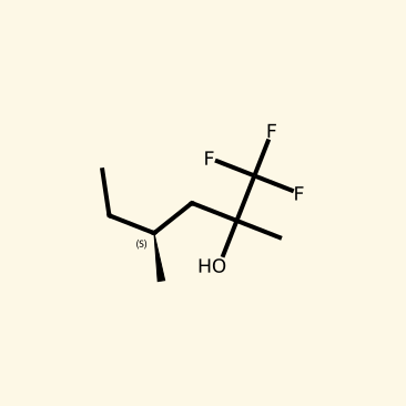 CC[C@H](C)CC(C)(O)C(F)(F)F